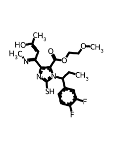 CCC(c1ccc(F)c(F)c1)n1c(S)nc(C(/C=C(/C)O)=N/C)c1C(=O)OCCOC